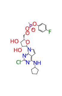 CP(=O)(OOC[C@H]1O[C@@H](n2ccc3c(NC4CCCC4)nc(Cl)nc32)[C@H](O)[C@@H]1O)Oc1ccc(F)cc1